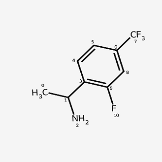 CC(N)c1ccc(C(F)(F)F)cc1F